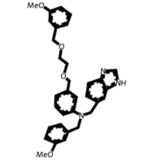 COc1cccc(COCCOCc2cccc(N(Cc3cccc(OC)c3)Cc3ccc4nc[nH]c4c3)c2)c1